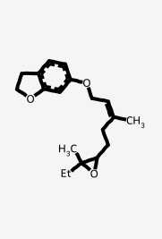 CCC1(C)OC1CCC(C)=CCOc1ccc2c(c1)OCC2